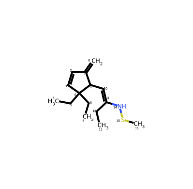 C=C1C=CC(CC)(CC)C1/C=C(\CC)NSC